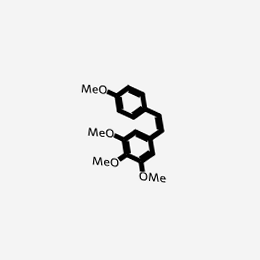 COc1[c]cc(/C=C\c2cc(OC)c(OC)c(OC)c2)cc1